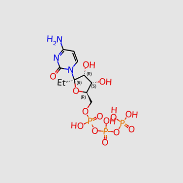 CC[C@@]1(n2ccc(N)nc2=O)O[C@H](COP(=O)(O)OP(=O)(O)OP(=O)(O)O)[C@@H](O)[C@H]1O